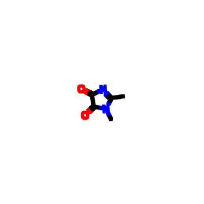 CC1=NC(=O)C(=O)N1C